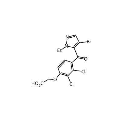 CCn1ncc(Br)c1C(=O)c1ccc(OCC(=O)O)c(Cl)c1Cl